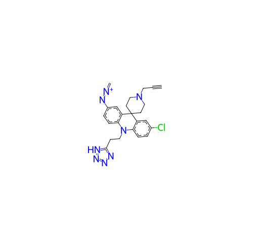 C#CCN1CCC2(CC1)c1cc(Cl)ccc1N(CCc1nnn[nH]1)c1ccc(N=[N+]=C)cc12